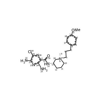 COc1ccc(CCC[N@@+]2(C)CCC[C@H](NC(=O)c3nc(Cl)c(N)nc3N)C2)cc1